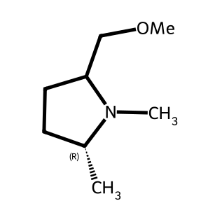 COCC1CC[C@@H](C)N1C